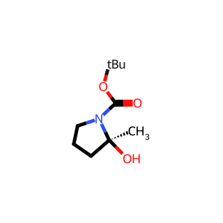 CC(C)(C)OC(=O)N1CCC[C@]1(C)O